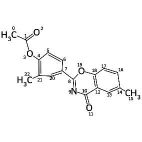 CC(=O)Oc1ccc(-c2nc(=O)c3cc(C)ccc3o2)cc1C